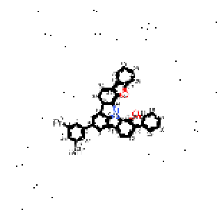 CC(C)c1cc(-c2cc3c4c(c2)c2ccc5c6ccccc6oc5c2n4C2=c4oc5ccccc5c4=CCC23)cc(C(C)C)c1